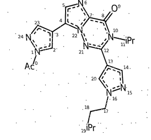 CC(=O)n1cc(-c2cnc3c(=O)n(C(C)C)c(-c4cnn(CCC(C)C)c4)nn23)cn1